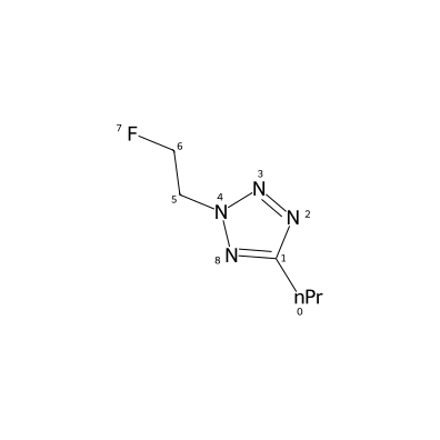 CCCc1nnn(CCF)n1